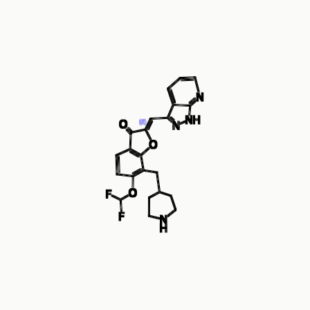 O=C1/C(=C/c2n[nH]c3ncccc23)Oc2c1ccc(OC(F)F)c2CC1CCNCC1